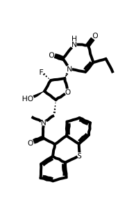 CCc1cn([C@@H]2O[C@H](CN(C)C(=O)C3c4ccccc4Sc4ccccc43)[C@@H](O)[C@@H]2F)c(=O)[nH]c1=O